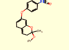 CC(C)OC1(C)CC=C2CC=C(Oc3ccc(N=C=O)cc3)C=C2O1